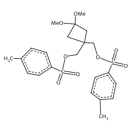 COC1(OC)CC(COS(=O)(=O)c2ccc(C)cc2)(COS(=O)(=O)c2ccc(C)cc2)C1